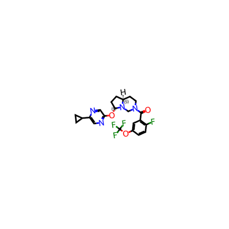 O=C(c1cc(OC(F)(F)F)ccc1F)N1CC[C@@H]2CC[C@H](Oc3cnc(C4CC4)cn3)N2C1